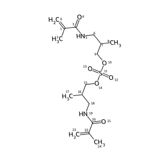 C=C(C)C(=O)NCC(C)COS(=O)(=O)OCC(C)CNC(=O)C(=C)C